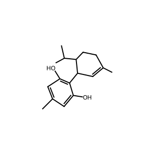 CC1=CC(c2c(O)cc(C)cc2O)C(C(C)C)CC1